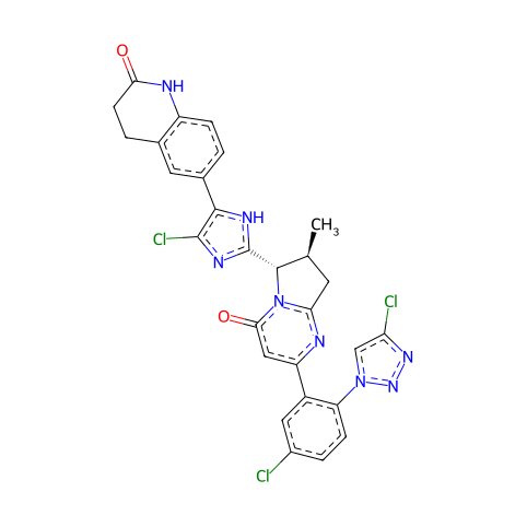 C[C@H]1Cc2nc(-c3cc(Cl)ccc3-n3cc(Cl)nn3)cc(=O)n2[C@@H]1c1nc(Cl)c(-c2ccc3c(c2)CCC(=O)N3)[nH]1